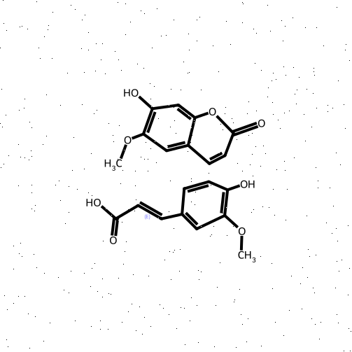 COc1cc(/C=C/C(=O)O)ccc1O.COc1cc2ccc(=O)oc2cc1O